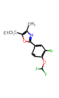 CCOC(=O)c1oc(-c2ccc(OC(F)F)c(Br)c2)nc1C